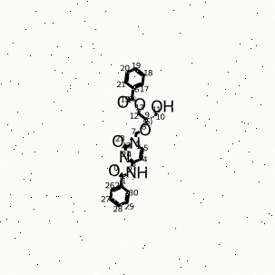 O=C(Nc1ccn(CO[C@@H](CO)COC(=O)c2ccccc2)c(=O)n1)c1ccccc1